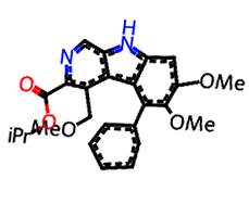 COCc1c(C(=O)OC(C)C)ncc2[nH]c3cc(OC)c(OC)c(-c4ccccc4)c3c12